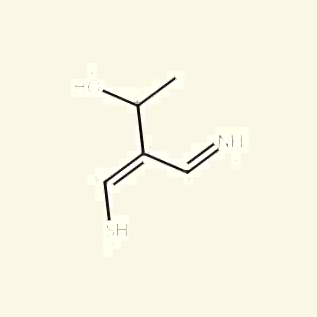 CC(O)/C(C=N)=C/S